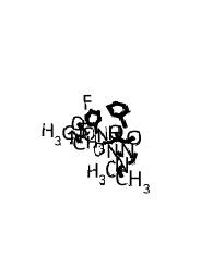 CC(C)N1CCn2c1nc(C(=O)NCc1ccc(F)cc1S(=O)(=O)N(C)C)c(OCc1ccccc1)c2=O